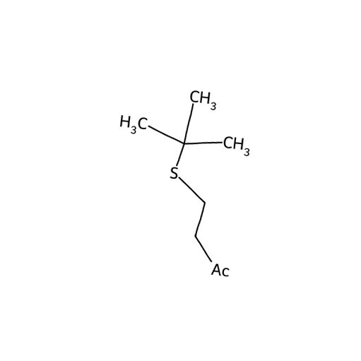 CC(=O)CCSC(C)(C)C